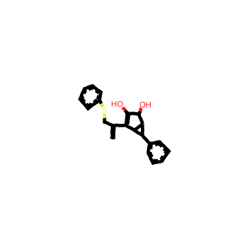 C=C(CSc1ccccc1)C1=C(O)C(O)C2C1C2c1ccccc1